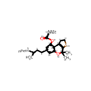 CCCCCC(C)CCc1cc(OC(=O)NC)c2c(c1)OC(C)(C)C1=C2CCS1